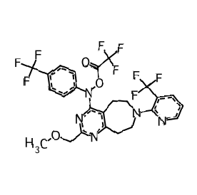 COCc1nc2c(c(N(OC(=O)C(F)(F)F)c3ccc(C(F)(F)F)cc3)n1)CCN(c1ncccc1C(F)(F)F)CC2